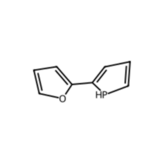 c1coc(-c2ccc[pH]2)c1